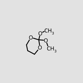 COC1(OC)OCCCO1